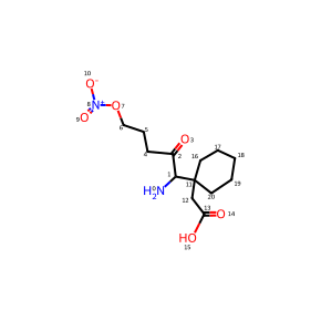 NC(C(=O)CCCO[N+](=O)[O-])C1(CC(=O)O)CCCCC1